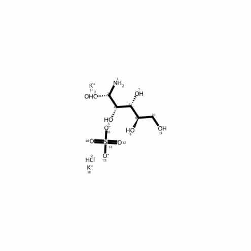 Cl.N[C@@H](C=O)[C@@H](O)[C@H](O)[C@H](O)CO.O=S(=O)([O-])[O-].[K+].[K+]